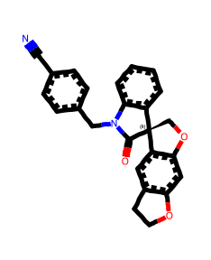 N#Cc1ccc(CN2C(=O)[C@]3(COc4cc5c(cc43)CCO5)c3ccccc32)cc1